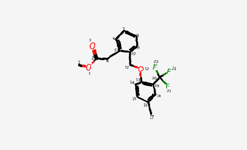 COC(=O)Cc1ccccc1COc1ccc(C)cc1C(F)(F)F